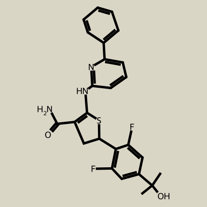 CC(C)(O)c1cc(F)c(C2CC(C(N)=O)=C(Nc3cccc(-c4ccccc4)n3)S2)c(F)c1